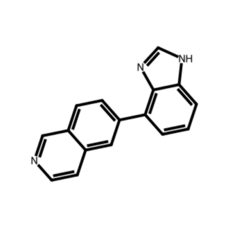 c1cc(-c2ccc3cnccc3c2)c2nc[nH]c2c1